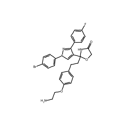 NCCOc1ccc(CCC2(c3cn(-c4ccc(Br)cc4)nc3-c3ccc(F)cc3)NC(=O)CO2)cc1